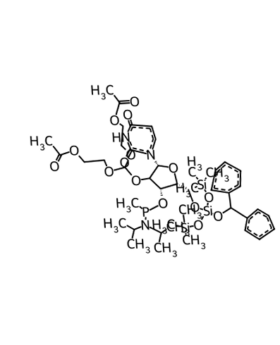 CC(=O)OCCOC(OCCOC(C)=O)OC1[C@@H](OP(C)N(C(C)C)C(C)C)[C@@H](CO[Si](OC(c2ccccc2)c2ccccc2)(O[Si](C)(C)C)O[Si](C)(C)C)O[C@H]1n1ccc(=O)[nH]c1=O